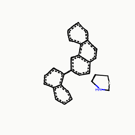 C1CCNCC1.c1ccc2c(-c3ccc4ccc5ccccc5c4c3)cccc2c1